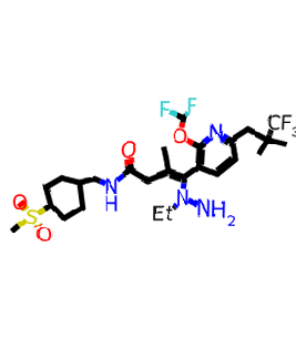 CCN(N)/C(=C(/C)CC(=O)NCC1CCC(S(C)(=O)=O)CC1)c1ccc(CC(C)(C)C(F)(F)F)nc1OC(F)F